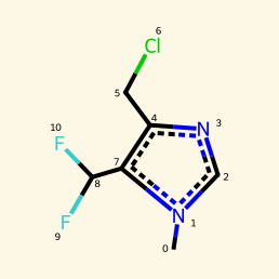 Cn1cnc(CCl)c1C(F)F